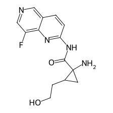 NC1(C(=O)Nc2ccc3cncc(F)c3n2)CC1CCO